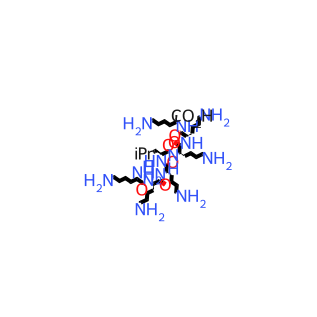 CC(C)C[C@H](NC(=O)[C@H](CCCCN)NC(=O)[C@H](CCCCN)NC(=O)[C@@H](N)CCCCN)C(=O)N[C@@H](CCCCN)C(=O)N[C@@H](CCCCN)C(=O)N[C@@H](CCCCN)C(=O)O